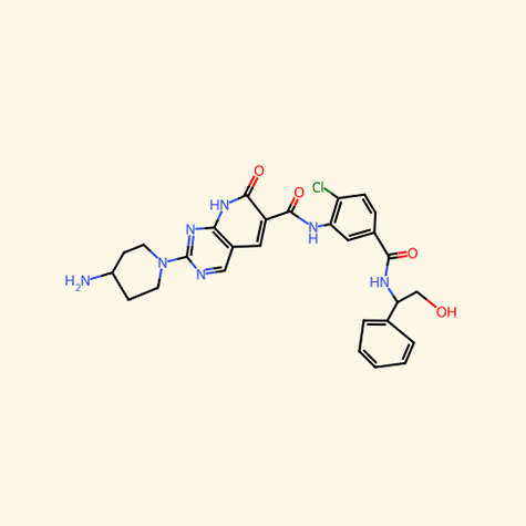 NC1CCN(c2ncc3cc(C(=O)Nc4cc(C(=O)NC(CO)c5ccccc5)ccc4Cl)c(=O)[nH]c3n2)CC1